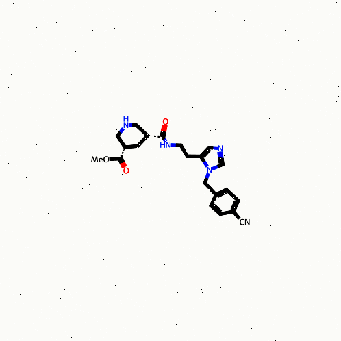 COC(=O)[C@@H]1CNC[C@H](C(=O)NCCc2cncn2Cc2ccc(C#N)cc2)C1